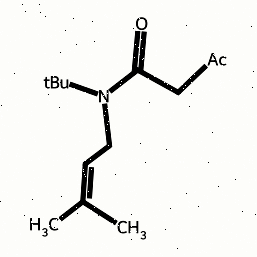 CC(=O)CC(=O)N(CC=C(C)C)C(C)(C)C